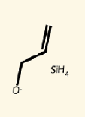 C=CC[O].[SiH4]